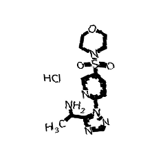 CC(N)c1ncnn1-c1ccc(S(=O)(=O)N2CCOCC2)cn1.Cl